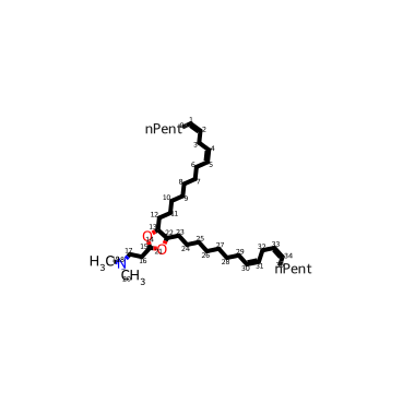 CCCCC/C=C\C/C=C\CCCCCCCC1OC(CCN(C)C)OC1CCCCCCC/C=C\C/C=C\CCCCC